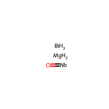 [BiH3].[MgH2].[O]=[Nb]